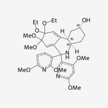 CCOC1(OCC)C=C2C(=CC1(OC)OC)C(c1cnc(OC)cc1OC)(c1ccc(OC)nc1OC)N[C@@H]1CC[C@@H](O)C[C@H]21